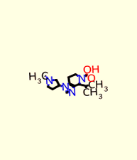 CC(C)C1c2ncn(C3CCN(C)C3)c2CCN1C(=O)O